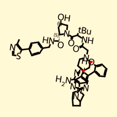 Cc1ncsc1-c1ccc(CNC(=O)[C@@H]2C[C@@H](O)CN2C(=O)C(NC(=O)CN2CCC(c3cnc(N4C5CCC4CN(c4cc(-c6ccccc6O)nnc4N)C5)nc3)CC2)C(C)(C)C)cc1